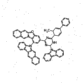 CC1C=C(c2ccccc2)C=CC1C1=NC(c2cc(-n3c4ccccc4c4cc5ccccc5cc43)c3c(c2)oc2cc4ccccc4cc23)=NC(n2c3ccccc3c3ccccc32)N1